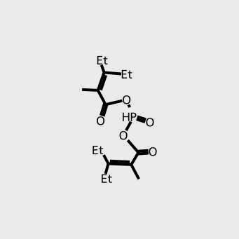 CCC(CC)=C(C)C(=O)O[PH](=O)OC(=O)C(C)=C(CC)CC